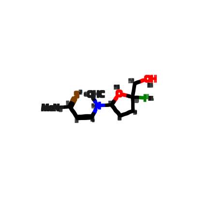 CNC(=S)/C=C\N(C=O)C1CCC(F)(CO)O1